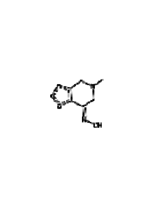 CN1C/C(=N\O)c2occc2C1